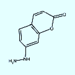 NNc1ccc2ccc(=O)oc2c1